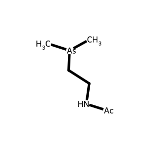 CC(=O)NCC[As](C)C